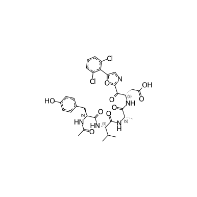 CC(=O)N[C@@H](Cc1ccc(O)cc1)C(=O)N[C@H](C(=O)N[C@@H](C)C(=O)N[C@@H](CC(=O)O)C(=O)c1ncc(-c2c(Cl)cccc2Cl)o1)C(C)C